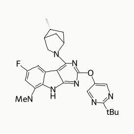 CNc1cc(F)cc2c1[nH]c1nc(Oc3cnc(C(C)(C)C)nc3)nc(N3CC4CC3C[C@H]4C)c12